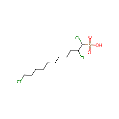 O=S(=O)(O)C(Cl)C(Cl)CCCCCCCCCCl